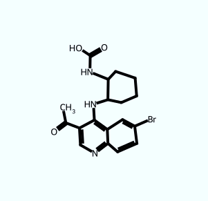 CC(=O)c1cnc2ccc(Br)cc2c1NC1CCCCC1NC(=O)O